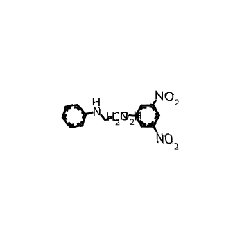 Nc1cc([N+](=O)[O-])cc([N+](=O)[O-])c1.O=C(O)CNc1ccccc1